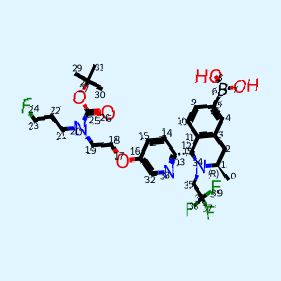 C[C@@H]1Cc2cc(B(O)O)ccc2[C@@H](c2ccc(OCCN(CCCF)C(=O)OC(C)(C)C)cn2)N1CC(F)(F)F